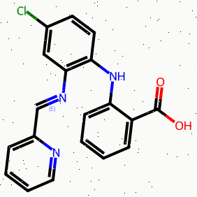 O=C(O)c1ccccc1Nc1ccc(Cl)cc1/N=C/c1ccccn1